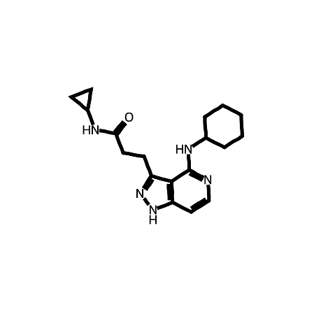 O=C(CCc1n[nH]c2ccnc(NC3CCCCC3)c12)NC1CC1